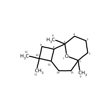 CC12CCCC(C)(O1)C1CC(C)(C)C1CC2